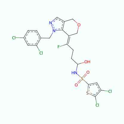 O=S(=O)(NC(O)CC/C(F)=C1\COCc2cnn(Cc3ccc(Cl)cc3Cl)c21)c1cc(Cl)c(Cl)s1